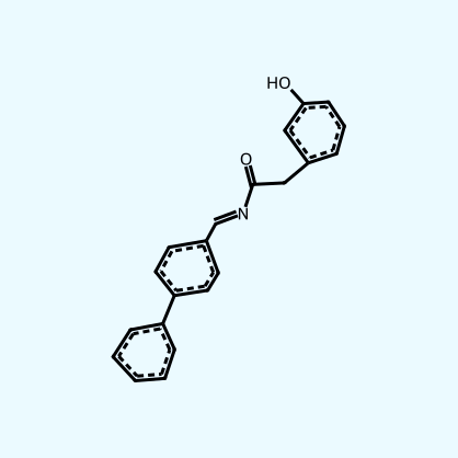 O=C(Cc1cccc(O)c1)N=Cc1ccc(-c2ccccc2)cc1